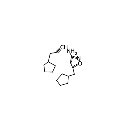 C#CCC1CCCC1.Nc1cc(CC2CCCC2)on1